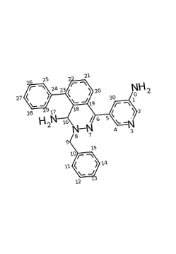 Nc1cncc(C2=NN(Cc3ccccc3)C(N)c3c2cccc3-c2ccccc2)c1